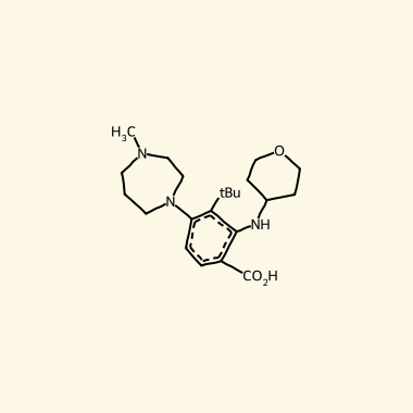 CN1CCCN(c2ccc(C(=O)O)c(NC3CCOCC3)c2C(C)(C)C)CC1